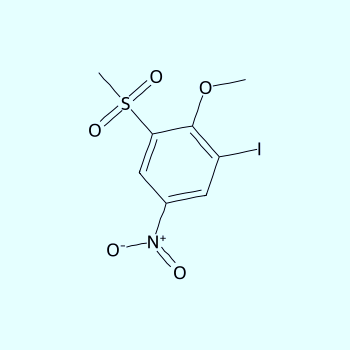 COc1c(I)cc([N+](=O)[O-])cc1S(C)(=O)=O